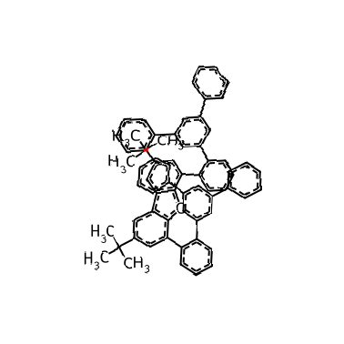 CC(C)(C)c1cc(-c2ccccc2-c2cc(-c3ccccc3)cc(-c3ccccc3)c2)c2oc3c(-c4ccccc4-c4cc(-c5ccccc5)cc(-c5ccccc5)c4)cc(C(C)(C)C)cc3c2c1